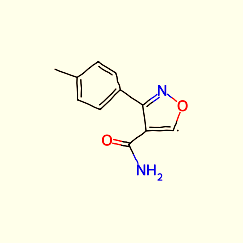 Cc1ccc(-c2no[c]c2C(N)=O)cc1